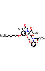 CNCCCCCCOc1ccc(N(CC(=O)OC)CC(=O)OC)c(OCCOc2ccccc2N(CC(=O)OC)CC(=O)OC)c1